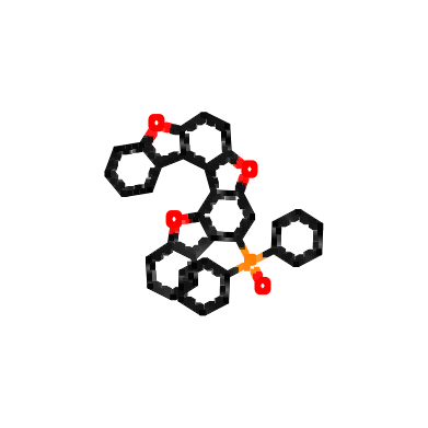 O=P(c1ccccc1)(c1ccccc1)c1cc2oc3ccc4oc5ccccc5c4c3c2c2oc3ccccc3c12